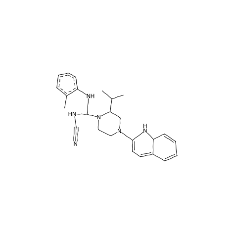 Cc1ccccc1NC(NC#N)N1CCN(C2=CC=C3C=CC=CC3N2)CC1C(C)C